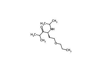 CCCOCC[C@H](NC(C)C)C(=O)C(C)C